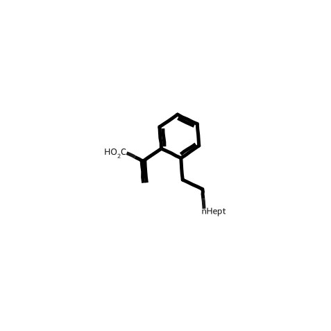 C=C(C(=O)O)c1ccccc1CCCCCCCCC